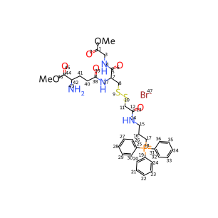 COC(=O)CNC(=O)C(CSSCC(=O)NCCC[P+](c1ccccc1)(c1ccccc1)c1ccccc1)NC(=O)CCC(N)C(=O)OC.[Br-]